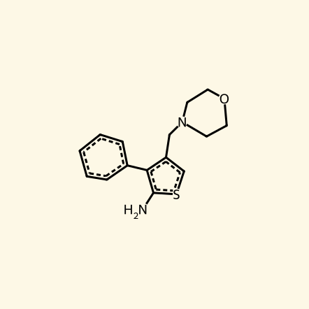 Nc1scc(CN2CCOCC2)c1-c1ccccc1